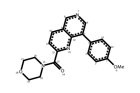 COc1ccc(-c2cncc3ccc(C(=O)N4CCOCC4)nc23)cc1